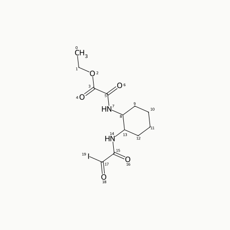 CCOC(=O)C(=O)NC1CCCCC1NC(=O)C(=O)I